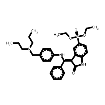 CCCN(CCC)Cc1ccc(NC(=C2C(=O)Nc3ccc(P(=O)(OCC)OCC)cc32)c2ccccc2)cc1